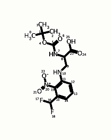 CC(C)(C)OC(=O)NC(CNc1cccc(C(F)F)c1[N+](=O)[O-])C(=O)O